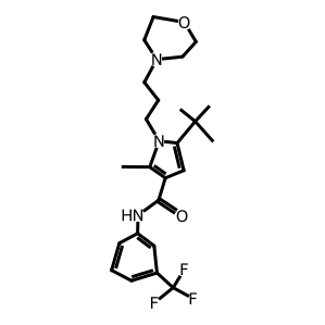 Cc1c(C(=O)Nc2cccc(C(F)(F)F)c2)cc(C(C)(C)C)n1CCCN1CCOCC1